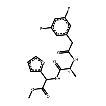 COC(=O)C(NC(=O)[C@H](C)NC(=O)Cc1cc(F)cc(F)c1)c1cccs1